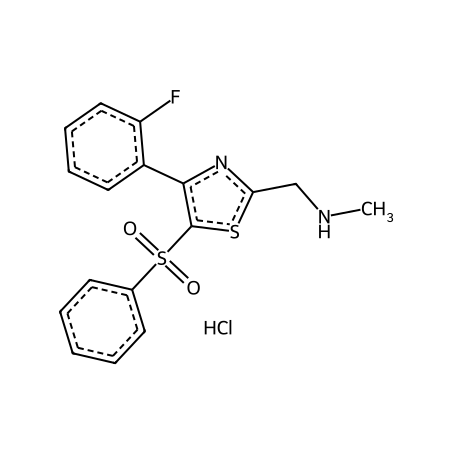 CNCc1nc(-c2ccccc2F)c(S(=O)(=O)c2ccccc2)s1.Cl